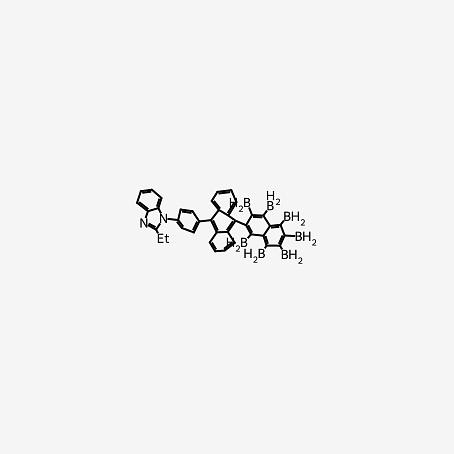 Bc1c(B)c(B)c2c(B)c(-c3c4ccccc4c(-c4ccc(-n5c(CC)nc6ccccc65)cc4)c4ccccc34)c(B)c(B)c2c1B